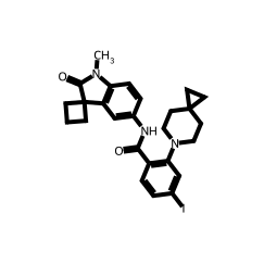 CN1C(=O)C2(CCC2)c2cc(NC(=O)c3ccc(I)cc3N3CCC4(CC3)CC4)ccc21